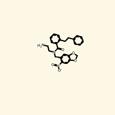 NCCN(Cc1cc2c(cc1[N+](=O)[O-])OCO2)C(=O)c1ccccc1CCc1ccccc1